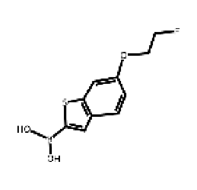 OB(O)c1cc2ccc(OCCF)cc2s1